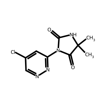 CC1(C)NC(=O)N(c2cc(Cl)cnn2)C1=O